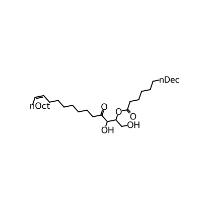 CCCCCCCC/C=C\CCCCCCCC(=O)C(O)C(CO)OC(=O)CCCCCCCCCCCCCCC